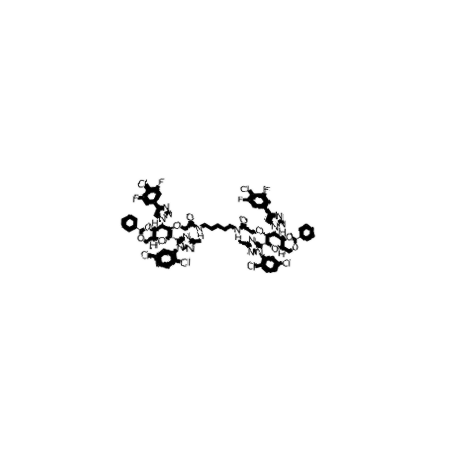 Cc1nc([C@H]2O[C@H]3CO[C@@H](c4ccccc4)O[C@H]3[C@@H](n3cc(-c4cc(F)c(Cl)c(F)c4)nn3)[C@@H]2OCC(=O)NCCCCCNC(=O)CO[C@@H]2[C@@H](n3cc(-c4cc(F)c(Cl)c(F)c4)nn3)[C@H]3O[C@@H](c4ccccc4)OC[C@H]3O[C@H]2c2nc(C)nn2-c2cc(Cl)ccc2Cl)n(-c2cc(Cl)ccc2Cl)n1